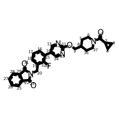 O=C(C1CC1)N1CCC(COc2ncc(-c3cccc(CN4C(=O)c5ccccc5C4=O)c3F)cn2)CC1